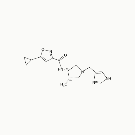 C[C@H]1CN(Cc2c[nH]cn2)C[C@H]1NC(=O)c1cc(C2CC2)on1